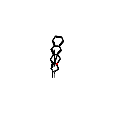 CC1(C)OC2C3C4=CNCC4C(c4cc5ccccc5cc43)C2O1